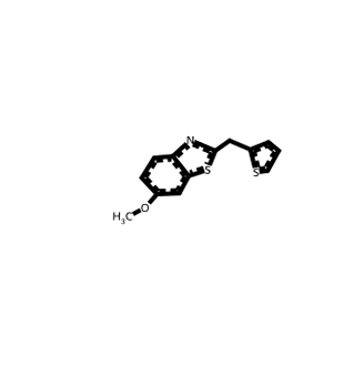 COc1ccc2nc(Cc3cccs3)sc2c1